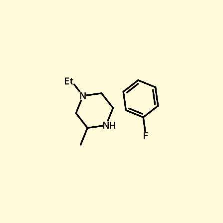 CCN1CCNC(C)C1.Fc1ccccc1